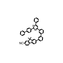 CC1(C)c2cc(C#N)ccc2-c2ccc(-c3cccc(-c4cccc(-c5cc(-c6ccccc6)nc(-c6ccc(-c7ccccc7)cc6)n5)c4)c3)cc21